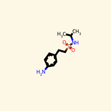 CC(C)NS(=O)(=O)CCc1ccc(N)cc1